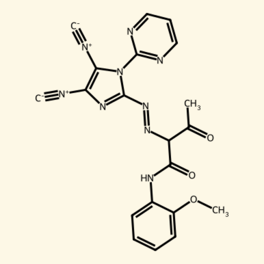 [C-]#[N+]c1nc(N=NC(C(C)=O)C(=O)Nc2ccccc2OC)n(-c2ncccn2)c1[N+]#[C-]